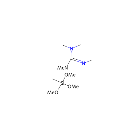 CN=C(NC)N(C)C.CO[Si](C)(OC)OC